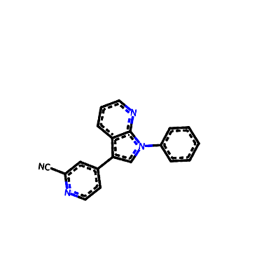 N#Cc1cc(-c2cn(-c3ccccc3)c3ncccc23)ccn1